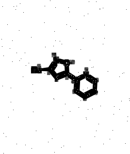 CC[C@H](C)c1cc(-c2ccccn2)on1